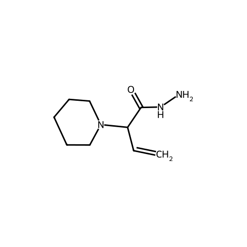 C=CC(C(=O)NN)N1CCCCC1